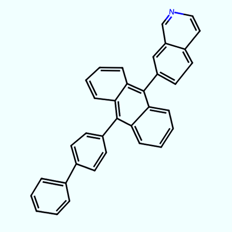 c1ccc(-c2ccc(-c3c4ccccc4c(-c4ccc5ccncc5c4)c4ccccc34)cc2)cc1